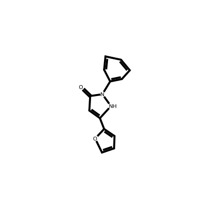 O=c1cc(-c2ccco2)[nH]n1-c1ccccc1